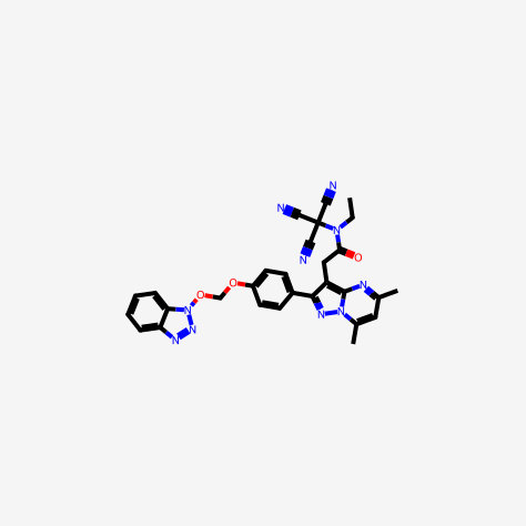 CCN(C(=O)Cc1c(-c2ccc(OCOn3nnc4ccccc43)cc2)nn2c(C)cc(C)nc12)C(C#N)(C#N)C#N